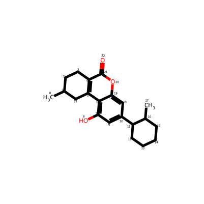 CC1CCc2c(c3c(O)cc(C4CCCCC4C)cc3oc2=O)C1